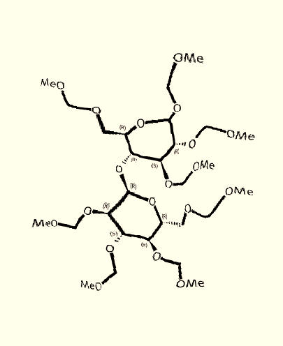 COCOC[C@H]1O[C@H](O[C@H]2[C@H](OCOC)[C@@H](OCOC)C(OCOC)O[C@@H]2COCOC)[C@H](OCOC)[C@@H](OCOC)[C@@H]1OCOC